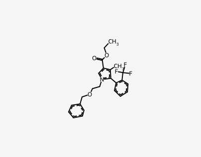 CCOC(=O)c1cn(CCOCc2ccccc2)c(-c2ccccc2C(F)(F)F)c1C